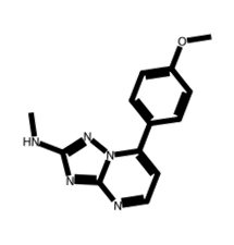 CNc1nc2nccc(-c3ccc(OC)cc3)n2n1